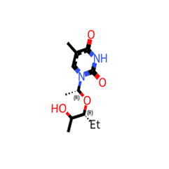 CC[C@@H](O[C@H](C)n1cc(C)c(=O)[nH]c1=O)C(C)O